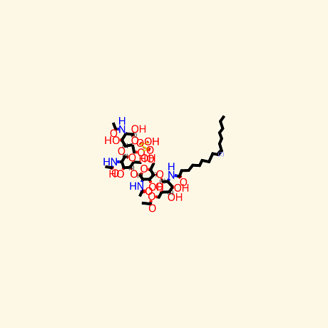 CCCCCC/C=C\CCCCCCCC(=O)NC1C(O)[C@H](O)C(COC(C)=O)O[C@H]1O[C@@H]1C(CO)O[C@@H](O[C@@H]2C(CO)O[C@@H](O[C@@H]3C(COS(=O)(=O)O)O[C@@H](O)C(NC(C)=O)C3O)C(NC(C)=O)C2O)C(NC(C)=O)C1O